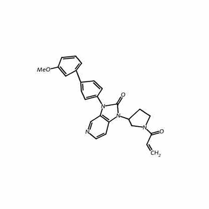 C=CC(=O)N1CCC(n2c(=O)n(-c3ccc(-c4cccc(OC)c4)cc3)c3cnccc32)C1